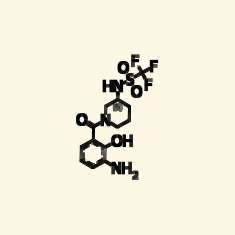 Nc1cccc(C(=O)N2CCC[C@H](NS(=O)(=O)C(F)(F)F)C2)c1O